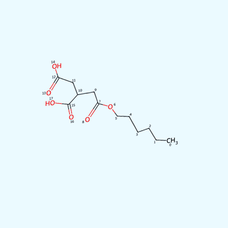 CCCCCCOC(=O)CC(CC(=O)O)C(=O)O